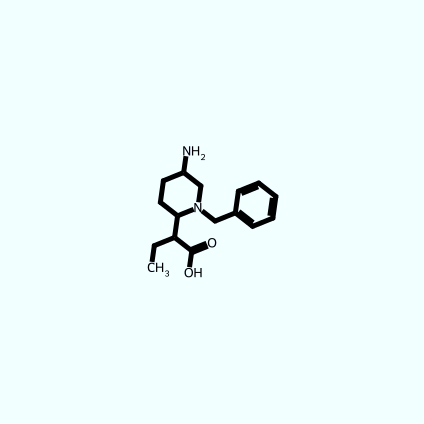 CCC(C(=O)O)C1CCC(N)CN1Cc1ccccc1